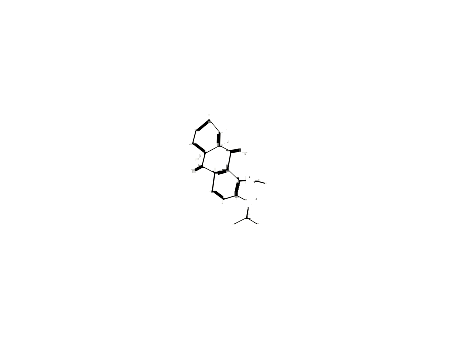 CNc1c(SC(C)C)ccc2c1C(=O)c1ccccc1C2=O